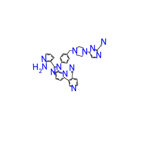 N#Cc1nccc(N2CCN(Cc3ccc(-n4c(-c5cccnc5N)nc5ccc(-c6cnccc6C#N)nc54)cc3)CC2)n1